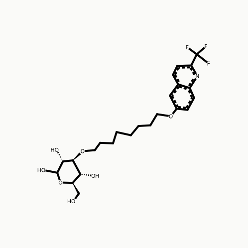 OC[C@H]1OC(O)[C@H](O)[C@@H](OCCCCCCCCOc2ccc3nc(C(F)(F)F)ccc3c2)[C@@H]1O